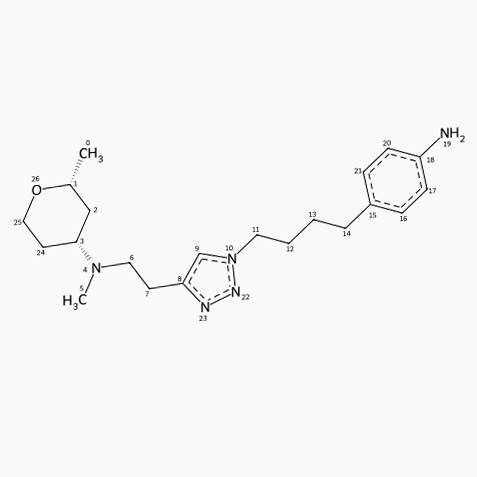 C[C@@H]1C[C@H](N(C)CCc2cn(CCCCc3ccc(N)cc3)nn2)CCO1